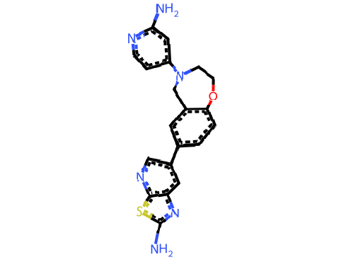 Nc1cc(N2CCOc3ccc(-c4cnc5sc(N)nc5c4)cc3C2)ccn1